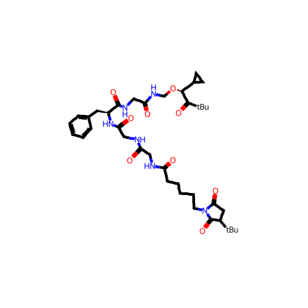 CC(C)(C)C(=O)[C@H](OCNC(=O)CNC(=O)[C@H](Cc1ccccc1)NC(=O)CNC(=O)CNC(=O)CCCCCN1C(=O)CC(C(C)(C)C)C1=O)C1CC1